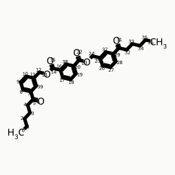 CCCCCC(=O)c1cccc(COC(=O)c2cccc(C(=O)OCc3cccc(C(=O)CCCCC)c3)c2)c1